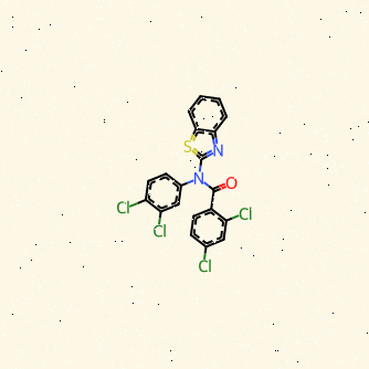 O=C(c1ccc(Cl)cc1Cl)N(c1ccc(Cl)c(Cl)c1)c1nc2ccccc2s1